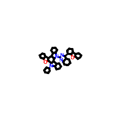 c1ccc(-n2c3ccccc3c3c2c2oc4ccccc4c2c2c4ccccc4n(-c4nc(-c5cccc6c5oc5ccccc56)c5ccccc5n4)c23)cc1